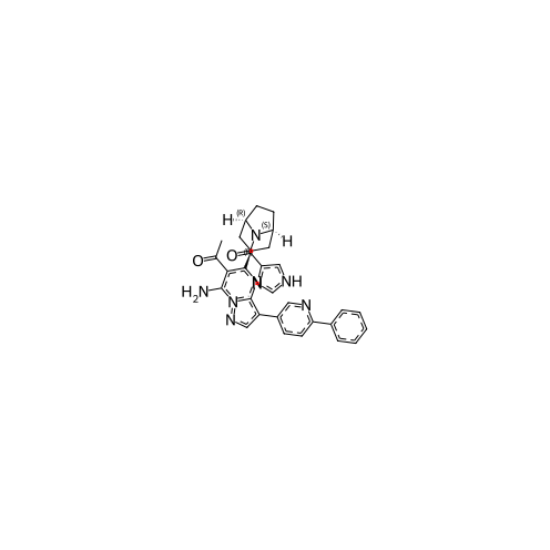 CC(=O)c1c([C@H]2C[C@H]3CC[C@@H](C2)N3C(=O)c2c[nH]cn2)nc2c(-c3ccc(-c4ccccc4)nc3)cnn2c1N